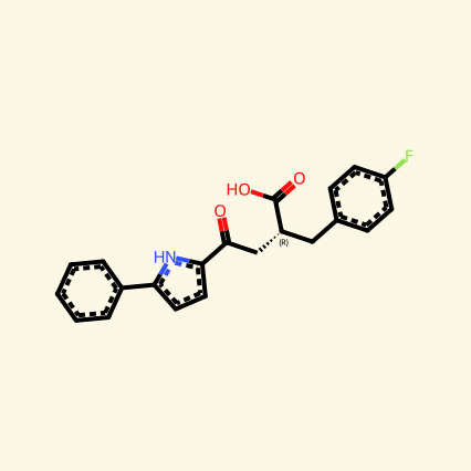 O=C(C[C@@H](Cc1ccc(F)cc1)C(=O)O)c1ccc(-c2ccccc2)[nH]1